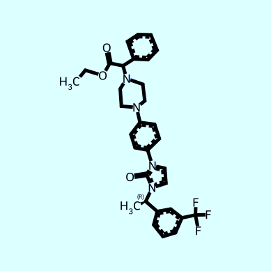 CCOC(=O)C(c1ccccc1)N1CCN(c2ccc(-n3ccn([C@H](C)c4cccc(C(F)(F)F)c4)c3=O)cc2)CC1